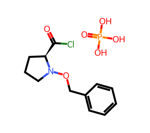 O=C(Cl)[C@@H]1CCCN1OCc1ccccc1.O=P(O)(O)O